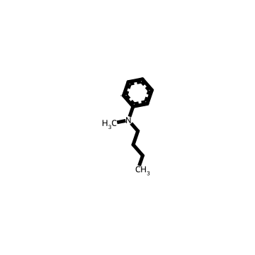 CCCCN(C)c1[c]cccc1